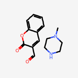 CN1CCNCC1.O=Cc1cc2ccccc2oc1=O